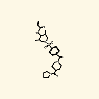 C=CC(=O)NC1C(C)CN(S(=O)(=O)c2ccc(C(=O)N3CCC(C(=O)N4CCCC4)CC3)cc2)CC1C